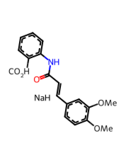 COc1ccc(C=CC(=O)Nc2ccccc2C(=O)O)cc1OC.[NaH]